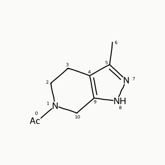 CC(=O)N1CCc2c(C)n[nH]c2C1